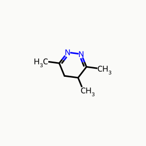 CC1=NN=C(C)C(C)C1